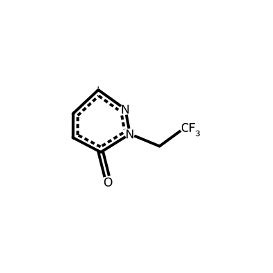 O=c1cc[c]nn1CC(F)(F)F